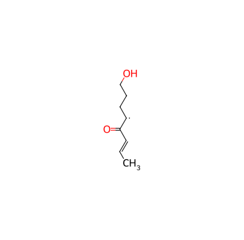 CC=CC(=O)[CH]CCCO